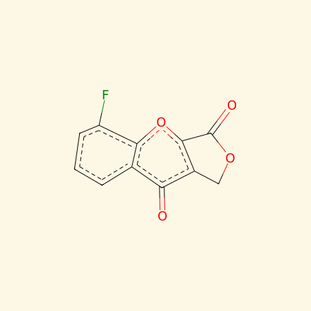 O=C1OCc2c1oc1c(F)cccc1c2=O